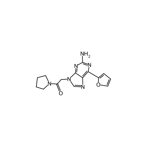 Nc1nc(-c2ccco2)c2ncn(CC(=O)N3CCCC3)c2n1